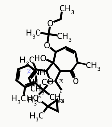 C/C=C(/C)C(OC(C)(O)C1=C(C)C=CCN1)C1(O)C(OC(C)(C)OCC)C=CC(C)C(=O)C1[C@H](C)C[C@@H]1CC1(C)C